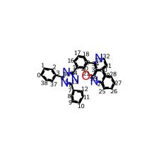 c1ccc(-c2nc(-c3ccccc3)nc(-c3cccc4c3Oc3nc5ccccc5c5ccnc-4c35)n2)cc1